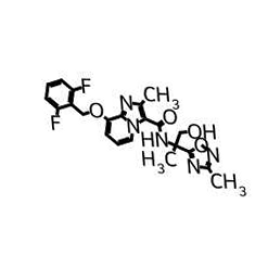 Cc1noc(C(C)(CO)NC(=O)c2c(C)nc3c(OCc4c(F)cccc4F)cccn23)n1